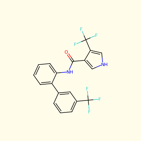 O=C(Nc1ccccc1-c1cccc(C(F)(F)F)c1)c1c[nH]cc1C(F)(F)F